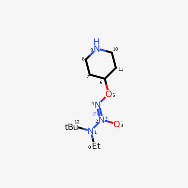 CCN(/[N+]([O-])=N/OC1CCNCC1)C(C)(C)C